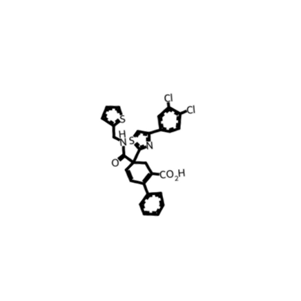 O=C(O)C1=C(c2ccccc2)C=CC(C(=O)NCc2cccs2)(c2nc(-c3ccc(Cl)c(Cl)c3)cs2)C1